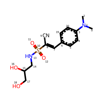 CN(C)c1ccc(/C=C(\C#N)S(=O)(=O)NCC(O)CO)cc1